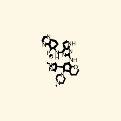 CN1CCN(c2c(-c3cnn(C)c3)cc(Nc3nc(Nc4ccc5nccnc5c4P=O)c4cc[nH]c4n3)c3c2CCCO3)CC1